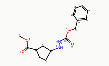 COC(=O)C1CCC(NNC(=O)OCc2ccccc2)C1